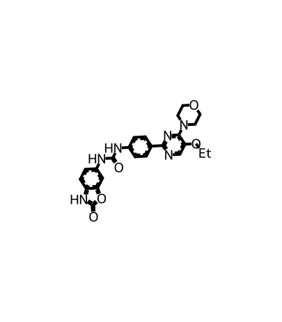 CCOc1cnc(-c2ccc(NC(=O)Nc3ccc4[nH]c(=O)oc4c3)cc2)nc1N1CCOCC1